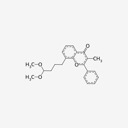 COC(CCCc1cccc2c(=O)c(C)c(-c3ccccc3)oc12)OC